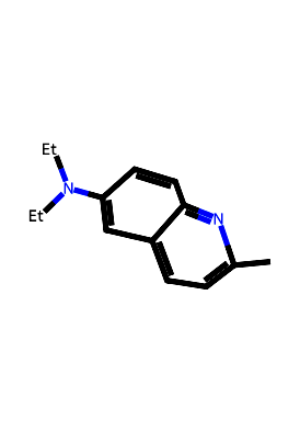 CCN(CC)c1ccc2nc(C)ccc2c1